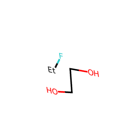 CCF.OCCO